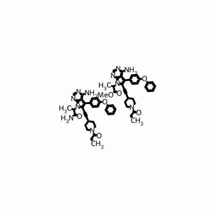 C=CC(=O)N1CCC(C#Cc2c(-c3ccc(Oc4ccccc4)cc3)c3c(N)ncnc3n2C(C)C(=O)OC)CC1.C=CC(=O)N1CCC(C#Cc2c(-c3ccc(Oc4ccccc4)cc3)c3c(N)ncnc3n2C(C)C(N)=O)CC1